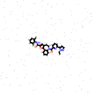 CCn1nccc1-c1cccc(C(=O)N2CCc3cc(C(=O)Nc4c(C)cccc4F)oc3-c3ccccc32)n1